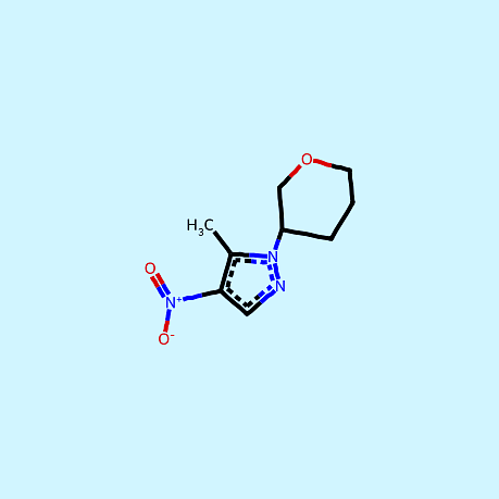 Cc1c([N+](=O)[O-])cnn1C1CCCOC1